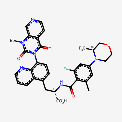 CCn1c(=O)n(-c2ccc(C[C@H](NC(=O)c3c(C)cc(N4CCOC[C@@H]4C(F)(F)F)cc3F)C(=O)O)c3cccnc23)c(=O)c2ccncc21